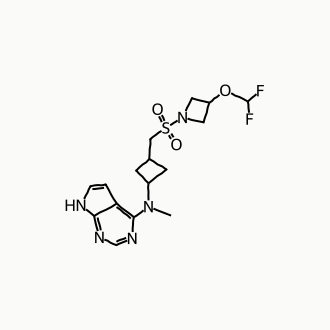 CN(c1ncnc2[nH]ccc12)C1CC(CS(=O)(=O)N2CC(OC(F)F)C2)C1